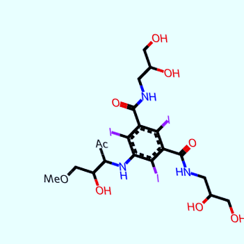 COCC(O)C(Nc1c(I)c(C(=O)NCC(O)CO)c(I)c(C(=O)NCC(O)CO)c1I)C(C)=O